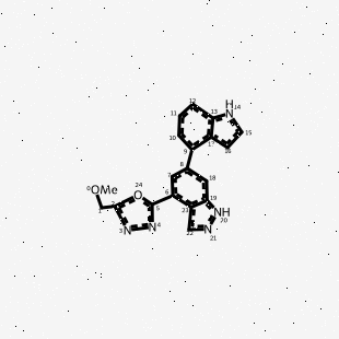 COCc1nnc(-c2cc(-c3cccc4[nH]ccc34)cc3[nH]ncc23)o1